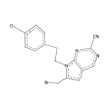 N#Cc1ncc2cc(CBr)n(CCc3ccc(Cl)cc3)c2n1